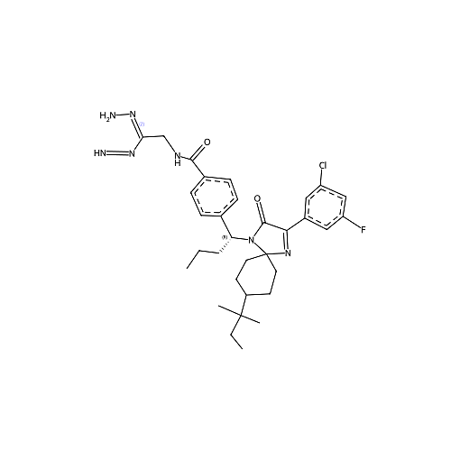 CCC[C@H](c1ccc(C(=O)NC/C(N=N)=N/N)cc1)N1C(=O)C(c2cc(F)cc(Cl)c2)=NC12CCC(C(C)(C)CC)CC2